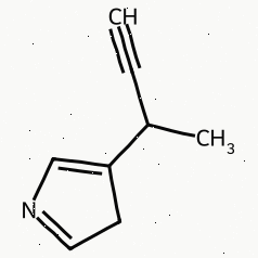 C#CC(C)C1=CN=CC1